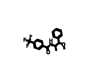 COC(c1ccccc1)C(C)NC(=O)c1ccc(C(F)(F)F)cc1